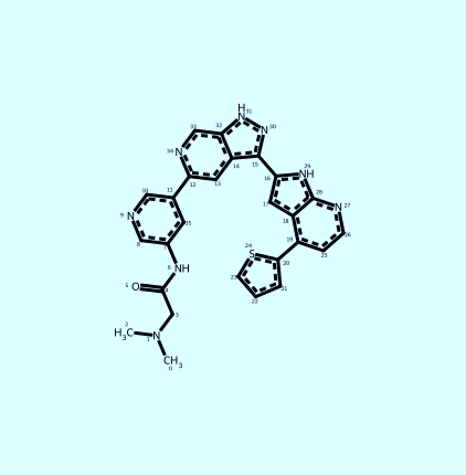 CN(C)CC(=O)Nc1cncc(-c2cc3c(-c4cc5c(-c6cccs6)ccnc5[nH]4)n[nH]c3cn2)c1